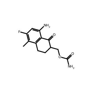 Cc1c(F)cc(N)c2c1CCC(COC(N)=O)C2=O